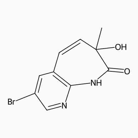 CC1(O)C=Cc2cc(Br)cnc2NC1=O